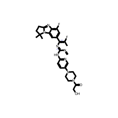 C=N/C(=N\C(=C(/C)F)c1cc(F)c2nc3n(c2c1)C(C)(C)CC3)Nc1ccc(N2CCN(C(=O)CO)CC2)cn1